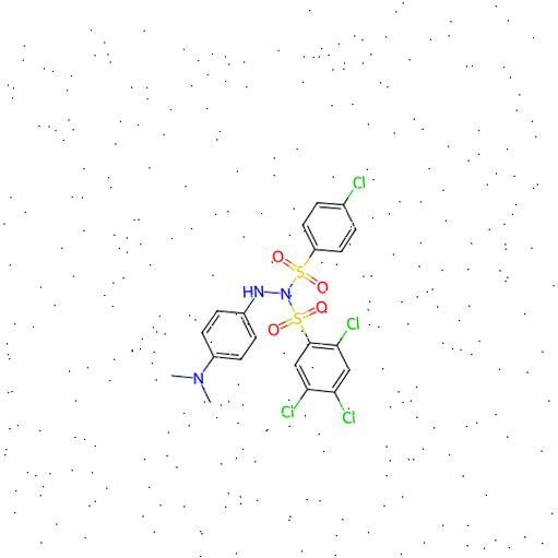 CN(C)c1ccc(NN(S(=O)(=O)c2ccc(Cl)cc2)S(=O)(=O)c2cc(Cl)c(Cl)cc2Cl)cc1